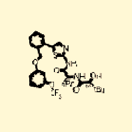 CCC[C@H](NC(=O)[C@@H](O)C(C)(C)C)C(=O)Nc1ncc(-c2ccccc2COc2cccc(OC(F)(F)F)c2)s1